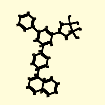 CC1(C)OB(c2nc(-c3ccccc3)nc(-c3ccc(-c4cccc5ccccc45)cc3)n2)OC1(C)C